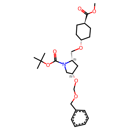 COC(=O)[C@H]1CC[C@H](OC[C@@H]2C[C@H](OCOCc3ccccc3)CN2C(=O)OC(C)(C)C)CC1